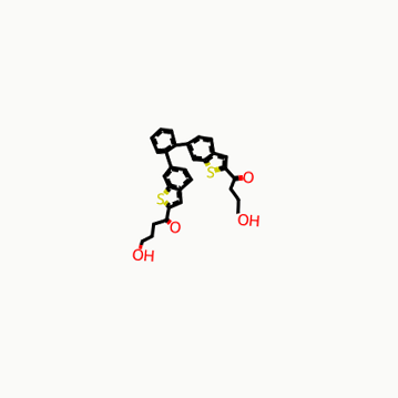 O=C(CCCO)c1cc2ccc(-c3ccccc3-c3ccc4cc(C(=O)CCCO)sc4c3)cc2s1